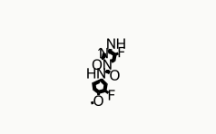 COc1ccc(NC(=O)n2cc(F)c(=N)n(C)c2=O)cc1F